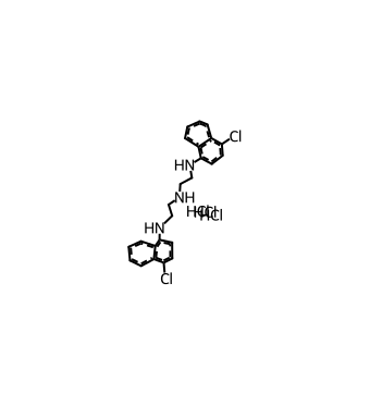 Cl.Cl.Cl.Clc1ccc(NCCNCCNc2ccc(Cl)c3ccccc23)c2ccccc12